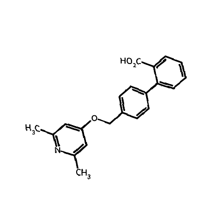 Cc1cc(OCc2ccc(-c3ccccc3C(=O)O)cc2)cc(C)n1